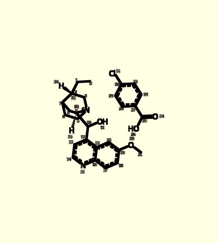 CC[C@@H]1CN2CCC1C[C@@H]2C(O)c1ccnc2ccc(OC)cc12.O=C(O)c1ccc(Cl)cc1